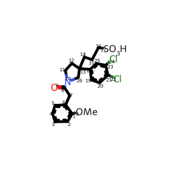 COc1ccccc1CC(=O)N1CCC(CCCS(=O)(=O)O)(c2ccc(Cl)c(Cl)c2)C1